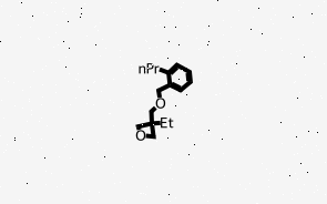 CCCc1ccccc1COCC1(CC)COC1